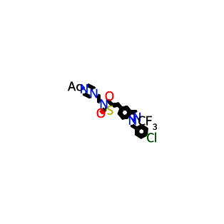 CC(=O)N1CCN(CCN2C(=O)S/C(=C\c3ccc4c(cnn4Cc4ccc(Cl)cc4C(F)(F)F)c3)C2=O)CC1